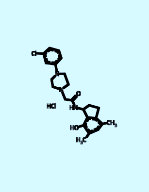 Cc1cc(C)c2c(c1O)C(NC(=O)CN1CCN(c3cccc(Cl)c3)CC1)CC2.Cl